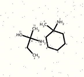 CC1(N)CCCCC1.CCC(C)(N)O